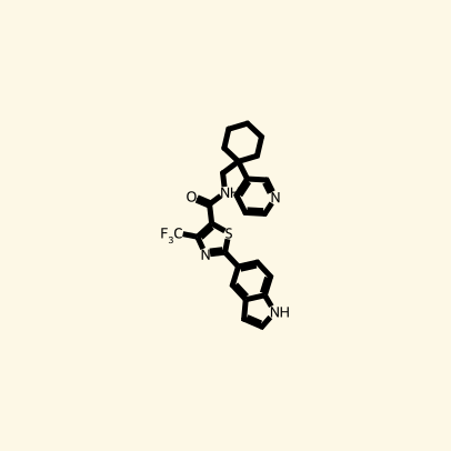 O=C(NCC1(c2cccnc2)CCCCC1)c1sc(-c2ccc3[nH]ccc3c2)nc1C(F)(F)F